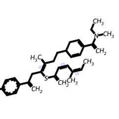 C=C(/C=C\C(C)=C/C)S/C(CC(=C)c1ccc(F)cc1)=C(/C)CCC1C=CC(C(=C)N(C)CC)=CC1